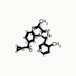 Cc1ccncc1-c1nnc2c(C)nc3ccc(C(=O)C4CC4)cc3n12